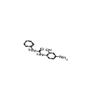 Nc1ccc(NC(=O)Nc2ccccc2)c(O)c1